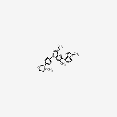 COC(=O)c1nc(-c2cccc3c2ncn3C)c(C)nc1Nc1ccc(C2COCCN2C)cc1